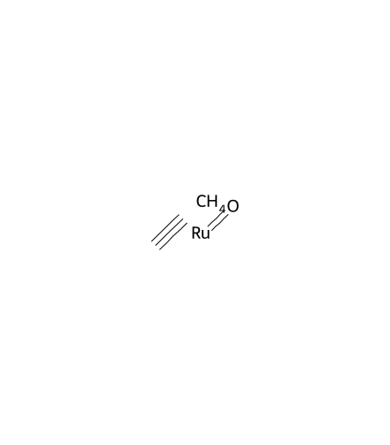 C.C#C.[O]=[Ru]